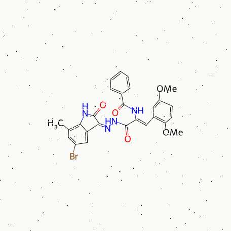 COc1ccc(OC)c(/C=C(\NC(=O)c2ccccc2)C(=O)N/N=C2\C(=O)Nc3c(C)cc(Br)cc32)c1